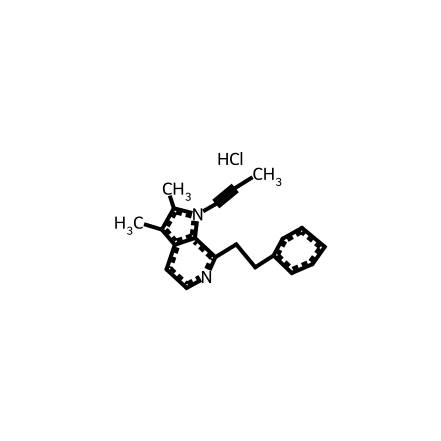 CC#Cn1c(C)c(C)c2ccnc(CCc3ccccc3)c21.Cl